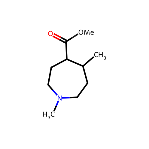 COC(=O)C1CCN(C)CCC1C